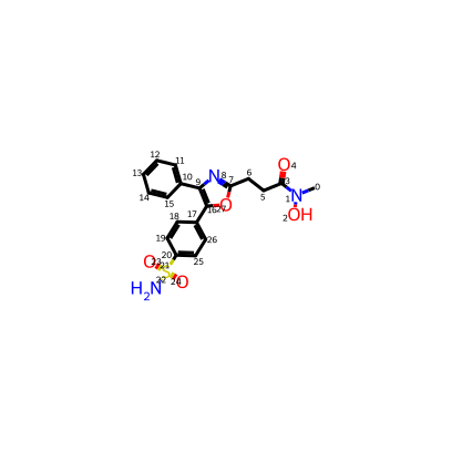 CN(O)C(=O)CCc1nc(-c2ccccc2)c(-c2ccc(S(N)(=O)=O)cc2)o1